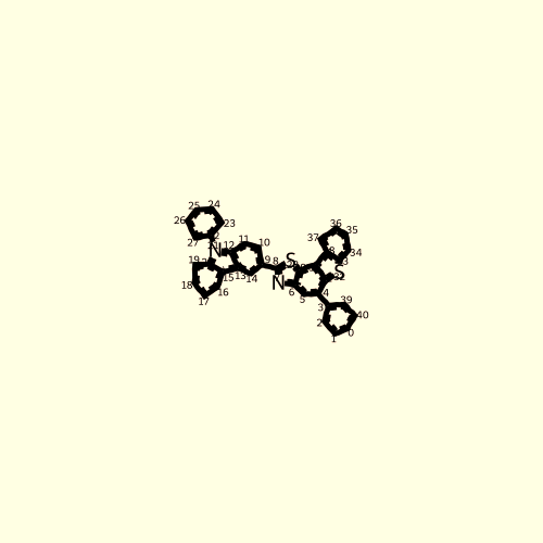 c1ccc(-c2cc3nc(-c4ccc5c(c4)c4ccccc4n5-c4ccccc4)sc3c3c2sc2ccccc23)cc1